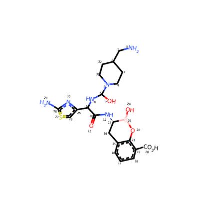 NCC1CCN(C(O)NC(C(=O)N[C@H]2Cc3cccc(C(=O)O)c3OB2O)c2csc(N)n2)CC1